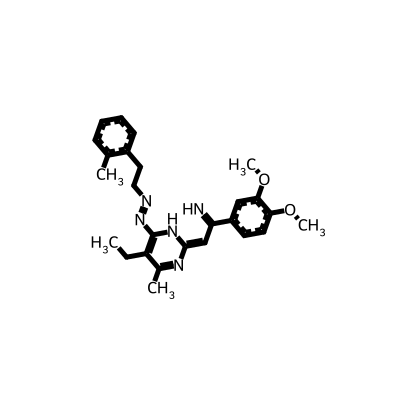 CCC1=C(N=NCCc2ccccc2C)N/C(=C\C(=N)c2ccc(OC)c(OC)c2)N=C1C